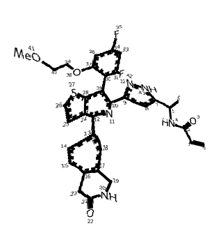 C=CC(=O)NC(C)c1cc(-c2nc(-c3ccc4c(c3)CNC(=O)C4)c3ccsc3c2-c2c(F)cc(F)cc2OCCOC)n[nH]1